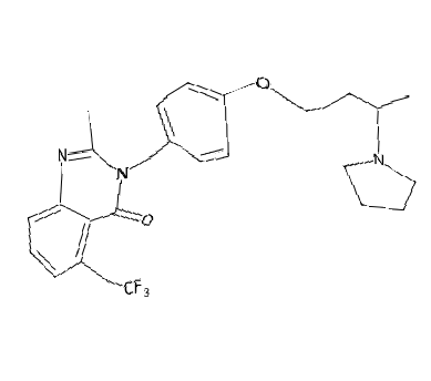 Cc1nc2cccc(C(F)(F)F)c2c(=O)n1-c1ccc(OCCC(C)N2CCCC2)cc1